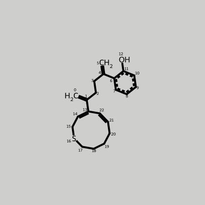 C=C(CCC(=C)c1ccccc1O)C1=C/CSCCCC/C=C\1